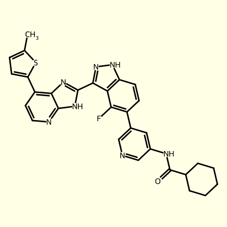 Cc1ccc(-c2ccnc3[nH]c(-c4n[nH]c5ccc(-c6cncc(NC(=O)C7CCCCC7)c6)c(F)c45)nc23)s1